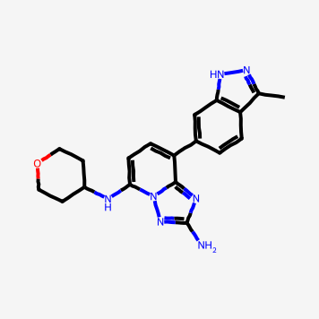 Cc1n[nH]c2cc(-c3ccc(NC4CCOCC4)n4nc(N)nc34)ccc12